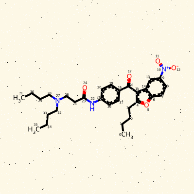 CCCCc1oc2ccc([N+](=O)[O-])cc2c1C(=O)c1ccc(NC(=O)CCN(CCCC)CCCC)cc1